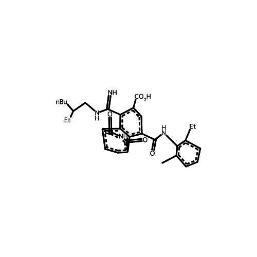 CCCCC(CC)CNC(=N)c1c(C(=O)O)cc(C(=O)Nc2c(C)cccc2CC)c2c3ccc(c(=O)[nH]c3=O)c12